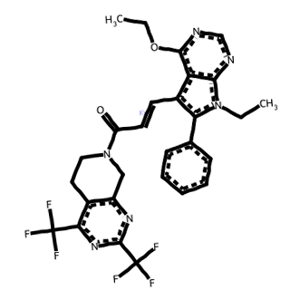 CCOc1ncnc2c1c(/C=C/C(=O)N1CCc3c(nc(C(F)(F)F)nc3C(F)(F)F)C1)c(-c1ccccc1)n2CC